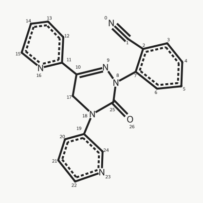 N#Cc1ccccc1N1N=C(c2ccccn2)CN(c2cccnc2)C1=O